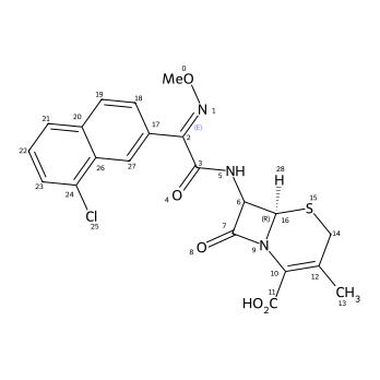 CO/N=C(/C(=O)NC1C(=O)N2C(C(=O)O)=C(C)CS[C@H]12)c1ccc2cccc(Cl)c2c1